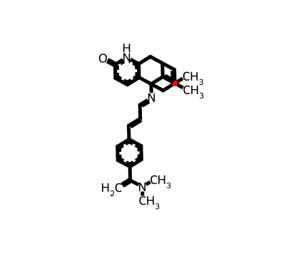 C=C(c1ccc(/C=C/C=N/C23CC(C)=CC(Cc4[nH]c(=O)ccc42)/C3=C\C)cc1)N(C)C